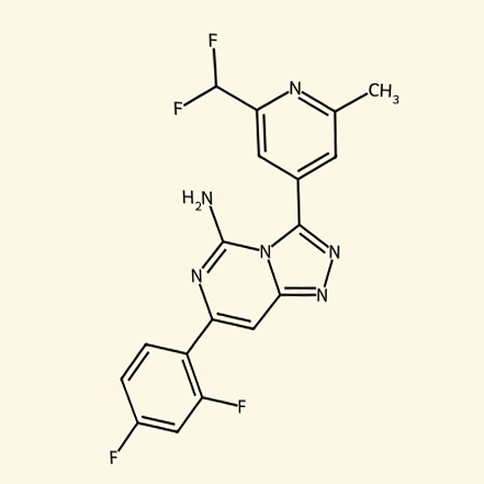 Cc1cc(-c2nnc3cc(-c4ccc(F)cc4F)nc(N)n23)cc(C(F)F)n1